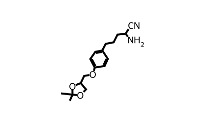 CC1(C)OCC(COc2ccc(CCCC(N)C#N)cc2)O1